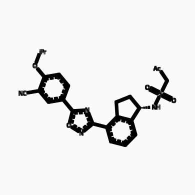 CC(=O)CS(=O)(=O)N[C@H]1CCc2c(-c3noc(-c4ccc(OC(C)C)c(C#N)c4)n3)cccc21